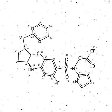 O=C(ON(c1cscn1)S(=O)(=O)c1cc(Cl)c(N[C@H]2CCN(Cc3ccccn3)C2)cc1F)C(F)(F)F